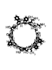 CCCC[C@H]1C(=O)N2C[C@H](O)C[C@@H]2C(=O)N[C@@H](CC(=O)O)C(=O)N[C@@H](C(C)C)C(=O)N(C)[C@@H](Cc2ccccc2)C(=O)N[C@@H](CC(N)=O)C(=O)N2C[C@H](O)C[C@H]2C(=O)N[C@@H](Cc2c[nH]c3ccccc23)C(=O)N[C@@H](Cc2ccc(O)cc2)C(=O)N[C@@H](CCCCN)C(=O)N[C@H](C(=O)NCC(N)=O)CSCC(=O)N[C@@H](Cc2cc(F)c(F)c(F)c2)C(=O)N(C)[C@@H](Cc2ccccc2)C(=O)N1C